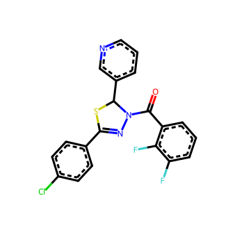 O=C(c1cccc(F)c1F)N1N=C(c2ccc(Cl)cc2)SC1c1cccnc1